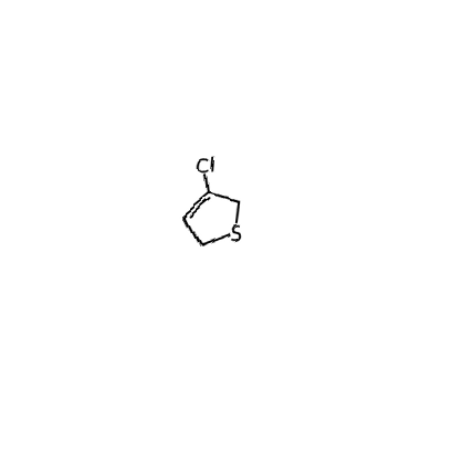 ClC1=CCSC1